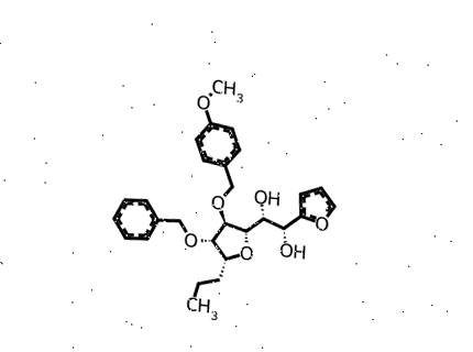 CCC[C@H]1O[C@@H]([C@H](O)[C@@H](O)c2ccco2)[C@H](OCc2ccc(OC)cc2)[C@H]1OCc1ccccc1